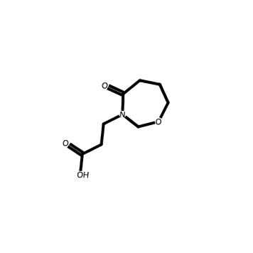 O=C(O)CCN1COCCCC1=O